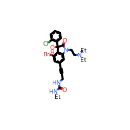 CCNC(=O)NCC#Cc1cc(Br)c2c(c1)N(CCN(CC)CC)C(=O)C2(O)c1ccccc1Cl